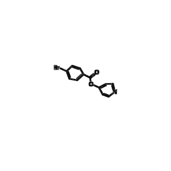 O=C(Oc1ccncc1)c1ccc(Br)cc1